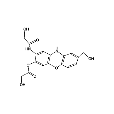 O=C(CO)Nc1cc2c(cc1OC(=O)CO)Oc1ccc(CO)cc1N2